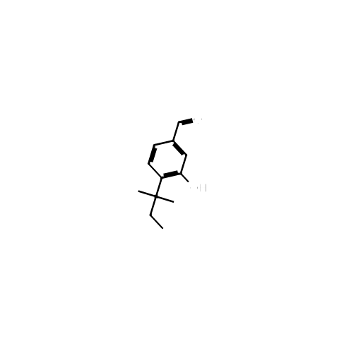 CCC(C)(C)c1ccc(C=O)cc1O